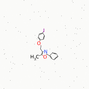 Cc1oc(-c2ccccc2)nc1CCOc1ccc(I)cc1